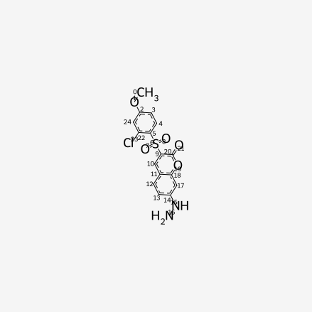 COc1ccc(S(=O)(=O)c2cc3ccc(NN)cc3oc2=O)c(Cl)c1